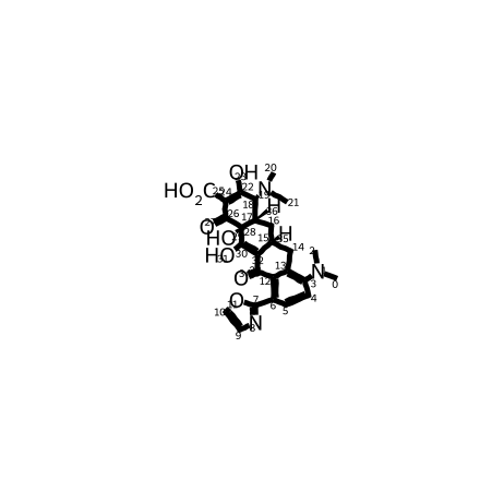 CN(C)c1ccc(-c2ncco2)c2c1C[C@H]1C[C@H]3[C@H](N(C)C)C(O)=C(C(=O)O)C(=O)[C@@]3(O)C(O)=C1C2=O